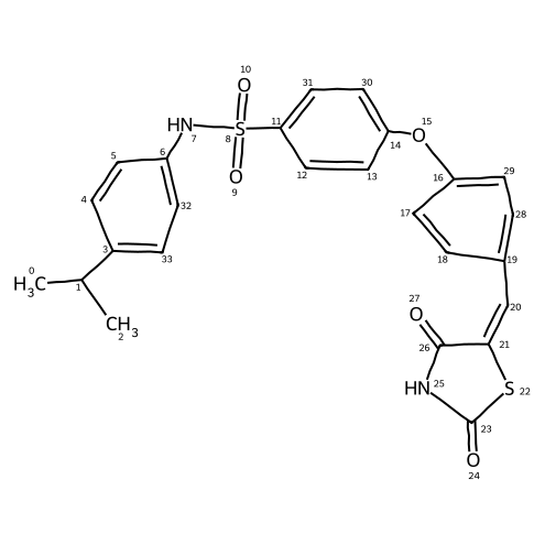 CC(C)c1ccc(NS(=O)(=O)c2ccc(Oc3ccc(C=C4SC(=O)NC4=O)cc3)cc2)cc1